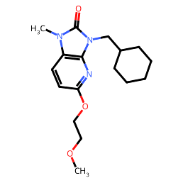 COCCOc1ccc2c(n1)n(CC1CCCCC1)c(=O)n2C